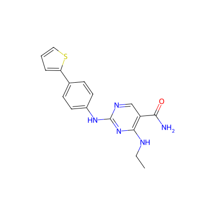 CCNc1nc(Nc2ccc(-c3cccs3)cc2)ncc1C(N)=O